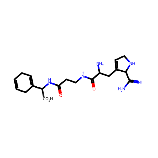 N=C(N)C1NCC=C1CC(N)C(=O)NCCC(=O)NC(C(=O)O)C1=CCC=CC1